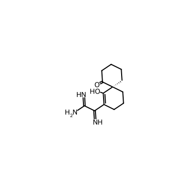 N=C(N)C(=N)C1=C(O)[C@]2(CCCCC2=O)CCC1